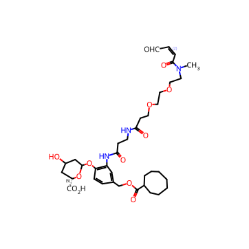 CN(CCOCCOCCC(=O)NCCC(=O)Nc1cc(COC(=O)C2CCCCCCC2)ccc1OC1CC(O)C[C@@H](C(=O)O)O1)C(=O)/C=C\C=O